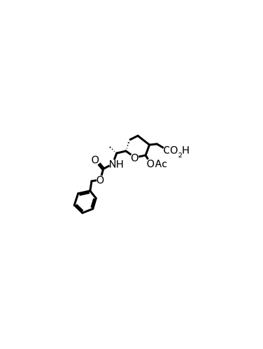 CC(=O)OC1O[C@H]([C@@H](C)NC(=O)OCc2ccccc2)CCC1CC(=O)O